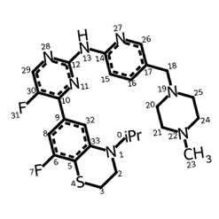 CC(C)N1CCSc2c(F)cc(-c3nc(Nc4ccc(CN5CCN(C)CC5)cn4)ncc3F)cc21